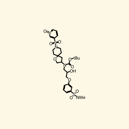 CNS(=O)(=O)c1cccc(OCC(O)CN(C(=O)OC(C)(C)C)C2COC3(CCN(S(=O)(=O)c4ccc[n+]([O-])c4)CC3)C2)c1